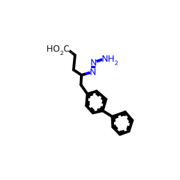 NN=NC(CCC(=O)O)Cc1ccc(-c2ccccc2)cc1